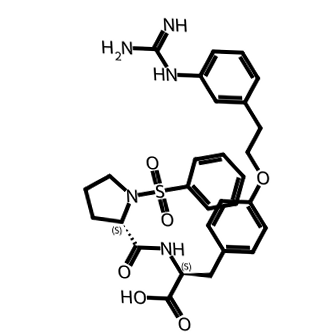 N=C(N)Nc1cccc(CCOc2ccc(C[C@H](NC(=O)[C@@H]3CCCN3S(=O)(=O)c3ccccc3)C(=O)O)cc2)c1